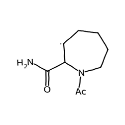 CC(=O)N1CCCC[CH]C1C(N)=O